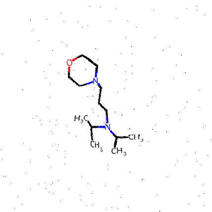 CC(C)N(CCCN1CCOCC1)C(C)C